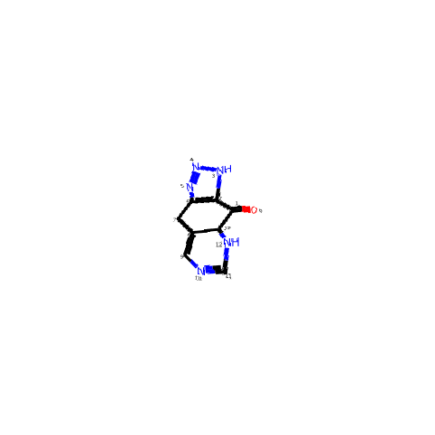 O=C1c2[nH]nnc2CC2=CN=CNC12